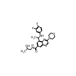 CC(Nc1ccc(F)c(F)c1)c1cc(C(=O)NC[C@@H](C)O)cc2ncc(N3CCOCC3)nc12